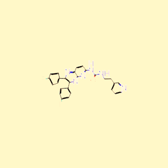 O=C(NCCc1cccnc1)Nc1ccc2nc(-c3ccc(F)cc3)c(-c3ccc(F)cc3)nc2n1